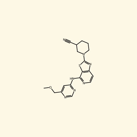 COCc1cc(Nc2nccc3nc(N4CCCC(C#N)C4)sc23)ncn1